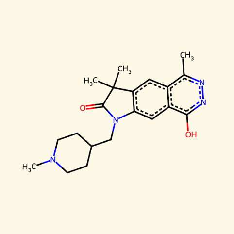 Cc1nnc(O)c2cc3c(cc12)C(C)(C)C(=O)N3CC1CCN(C)CC1